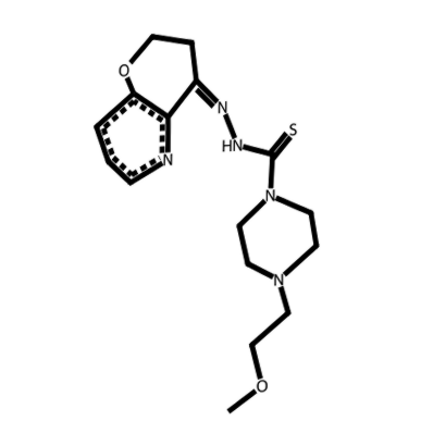 COCCN1CCN(C(=S)N/N=C2/CCOc3cccnc32)CC1